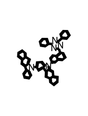 c1ccc(-c2nc(-c3ccccc3)nc(-c3cccc4cc(-n5c6ccc(-n7c8ccccc8c8cc9ccccc9cc87)cc6c6cc7ccccc7cc65)ccc34)n2)cc1